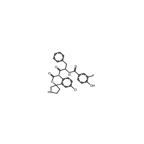 O=C(NC(Cc1ccccc1)C(=O)N1C(=O)OC2(CCNC2)c2cc(Cl)ccc21)c1ccc(O)c(F)c1